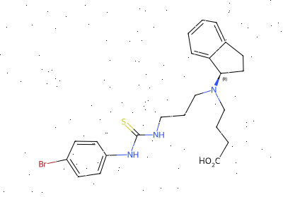 O=C(O)CCCN(CCCNC(=S)Nc1ccc(Br)cc1)[C@@H]1CCc2ccccc21